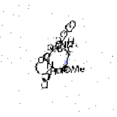 CO[C@H]1/C=C/C[C@H](C)CS(=O)(NC(=O)COC2CCOCC2)=NC(=O)c2ccc3c(c2)N(Cc2ccc(Cl)cc2CCCCO3)C[C@@H]2CC[C@H]21